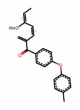 C=C(/C=C\C(=C/C)OC)C(=O)c1ccc(Oc2ccc(C)cc2)cc1